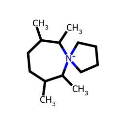 CC1CCC(C)C(C)[N+]2(CCCC2)C1C